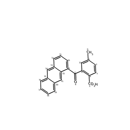 Cc1ccc(C(=O)O)c(C(=O)c2cccc3cc4ccccc4cc23)c1